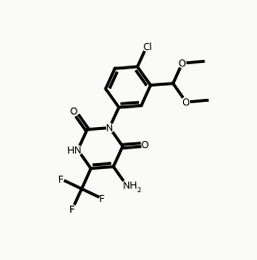 COC(OC)c1cc(-n2c(=O)[nH]c(C(F)(F)F)c(N)c2=O)ccc1Cl